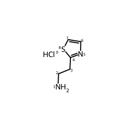 Cl.NCCc1nccs1